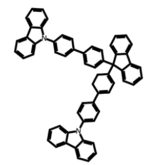 C1=C(c2ccc(-n3c4ccccc4c4ccccc43)cc2)CCC(C2(c3ccc(-c4ccc(-n5c6ccccc6c6ccccc65)cc4)cc3)c3ccccc3-c3ccccc32)=C1